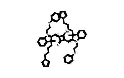 CC1(CCCCC2C=CC=C2)C(/C=C2\C(=O)C(/C=C3/N(CCOc4ccccc4)c4ccccc4C3(C)CCCCC3C=CC=C3)=C2O)=[N+](CCOc2ccccc2)c2ccccc21